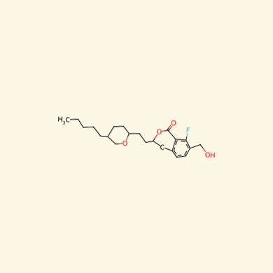 CCCCCC1CCC(CCC2Cc3ccc(CO)c(F)c3C(=O)O2)OC1